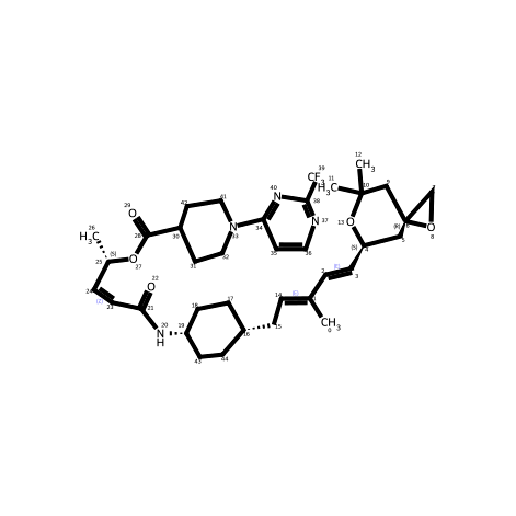 CC(/C=C/[C@@H]1C[C@]2(CO2)CC(C)(C)O1)=C\C[C@H]1CC[C@@H](NC(=O)/C=C\[C@H](C)OC(=O)C2CCN(c3ccnc(C(F)(F)F)n3)CC2)CC1